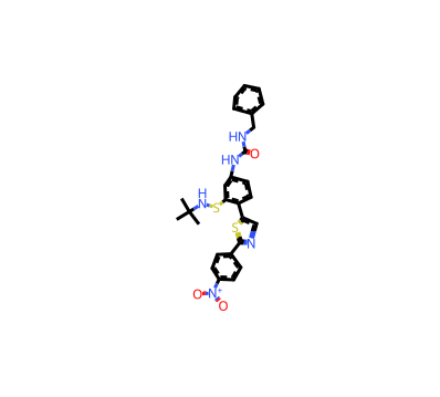 CC(C)(C)NSc1cc(NC(=O)NCc2ccccc2)ccc1-c1cnc(-c2ccc([N+](=O)[O-])cc2)s1